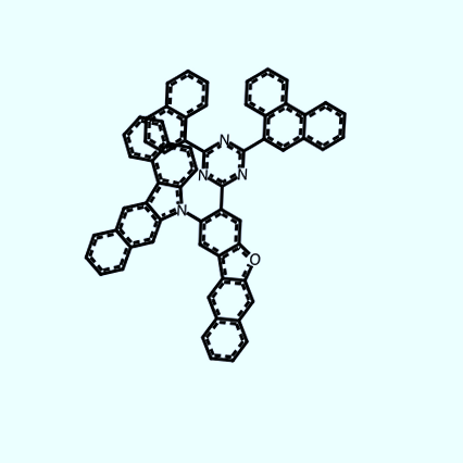 c1ccc2cc3c(cc2c1)oc1cc(-c2nc(-c4cccc5ccccc45)nc(-c4cc5ccccc5c5ccccc45)n2)c(-n2c4cc5ccccc5cc4c4c5ccccc5ccc42)cc13